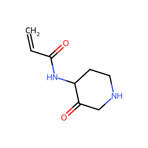 C=CC(=O)NC1CCNCC1=O